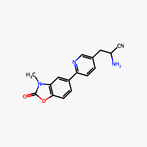 Cn1c(=O)oc2ccc(-c3ccc(CC(N)C#N)cn3)cc21